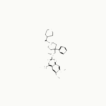 COc1cc2nc(N(C)CC3(c4ccccc4)CCN(C(=O)C4CCOCC4)CC3)nc(N)c2cc1OC